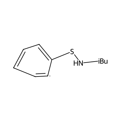 CCC(C)NSc1[c]cccc1